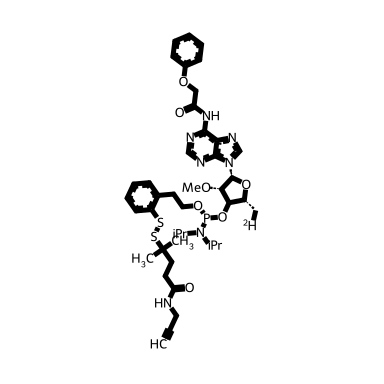 [2H]C[C@H]1O[C@@H](n2cnc3c(NC(=O)COc4ccccc4)ncnc32)[C@@H](OC)C1OP(OCCc1ccccc1SSC(C)(C)CCC(=O)NCC#C)N(C(C)C)C(C)C